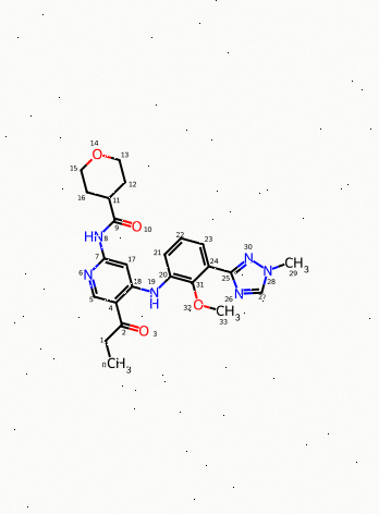 CCC(=O)c1cnc(NC(=O)C2CCOCC2)cc1Nc1cccc(-c2ncn(C)n2)c1OC